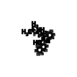 CC(C)C[C@H](N)CNc1nc(-c2ccc3ccccc3c2O)nc2ccccc12